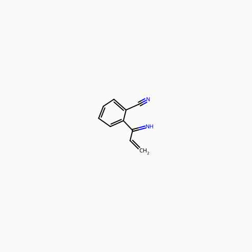 C=CC(=N)c1ccccc1C#N